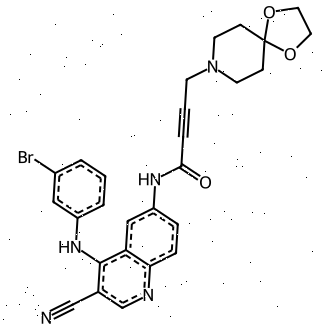 N#Cc1cnc2ccc(NC(=O)C#CCN3CCC4(CC3)OCCO4)cc2c1Nc1cccc(Br)c1